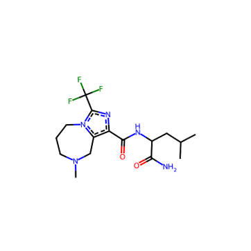 CC(C)CC(NC(=O)c1nc(C(F)(F)F)n2c1CN(C)CCC2)C(N)=O